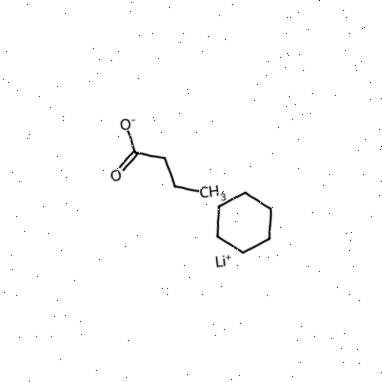 C1CCCCC1.CCCC(=O)[O-].[Li+]